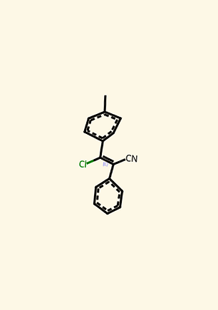 Cc1ccc(/C(Cl)=C(\C#N)c2ccccc2)cc1